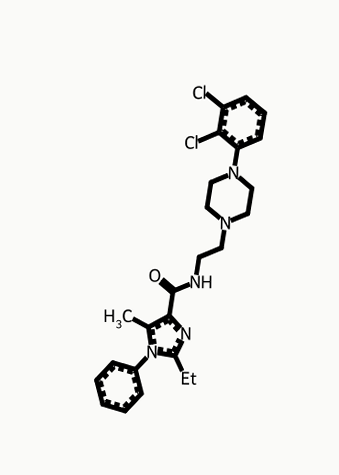 CCc1nc(C(=O)NCCN2CCN(c3cccc(Cl)c3Cl)CC2)c(C)n1-c1ccccc1